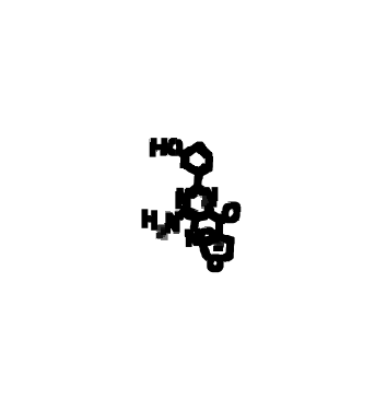 Nc1nc(-c2cccc(O)c2)nc(C(=O)C2=CCOCC2)c1[N+](=O)[O-]